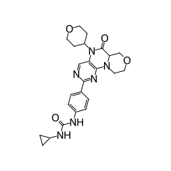 O=C(Nc1ccc(-c2ncc3c(n2)N2CCOCC2C(=O)N3C2CCOCC2)cc1)NC1CC1